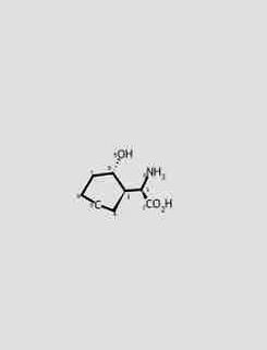 N[C@@H](C(=O)O)[C@H]1CCCC[C@@H]1O